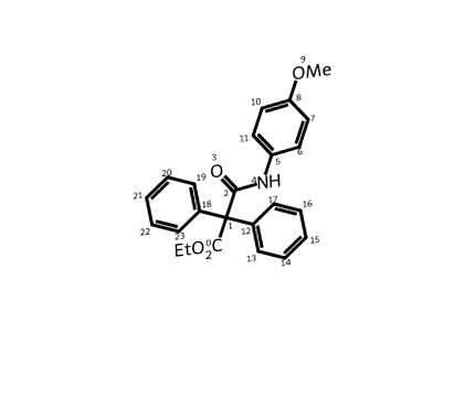 CCOC(=O)C(C(=O)Nc1ccc(OC)cc1)(c1ccccc1)c1ccccc1